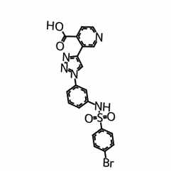 O=C(O)c1ccncc1-c1cn(-c2cccc(NS(=O)(=O)c3ccc(Br)cc3)c2)nn1